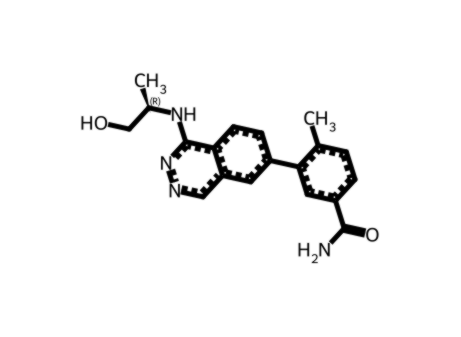 Cc1ccc(C(N)=O)cc1-c1ccc2c(N[C@H](C)CO)nncc2c1